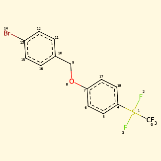 FC(F)(F)S(F)(F)c1ccc(OCc2ccc(Br)cc2)cc1